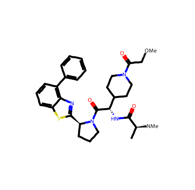 CN[C@@H](C)C(=O)N[C@H](C(=O)N1CCC[C@H]1c1nc2c(-c3ccccc3)cccc2s1)C1CCN(C(=O)COC)CC1